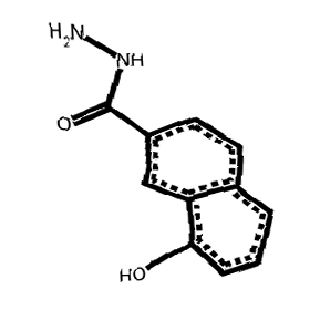 NNC(=O)c1ccc2cccc(O)c2c1